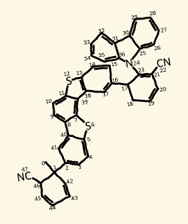 CC1(c2ccc3sc4c(ccc5sc6ccc(C7CC=CC(C#N)=C7n7c8ccccc8c8ccccc87)cc6c54)c3c2)C=CC=CC1C#N